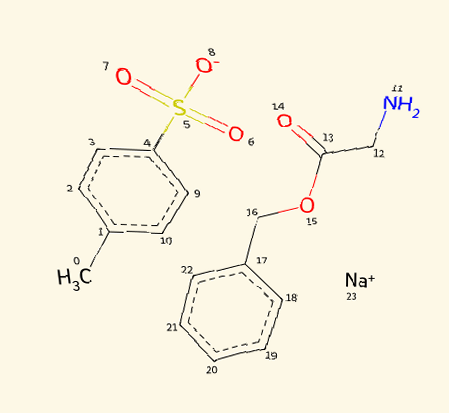 Cc1ccc(S(=O)(=O)[O-])cc1.NCC(=O)OCc1ccccc1.[Na+]